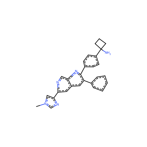 Cn1cnc(-c2cc3cc(-c4ccccc4)c(-c4ccc(C5(N)CCC5)cc4)nc3cn2)c1